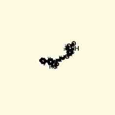 CC(=O)c1cc(C2CCCCC2)ccc1[N+](=CCCCCOc1ccc2c(c1)C(C)(C)OC(=O)N2)OS